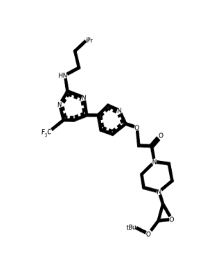 CC(C)CCNc1nc(-c2ccc(OCC(=O)N3CCN(C4OC4OC(C)(C)C)CC3)nc2)cc(C(F)(F)F)n1